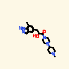 Cc1cc(CC(O)C(=O)N2CCN(C3CCN(C)CC3)CC2)cc2cn[nH]c12